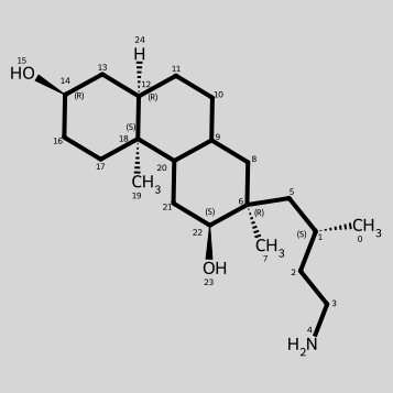 C[C@H](CCN)C[C@]1(C)CC2CC[C@@H]3C[C@H](O)CC[C@]3(C)C2C[C@@H]1O